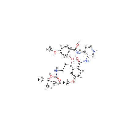 COc1ccc(C(=O)Nc2cnccc2NC(=O)c2ccc(OC)cc2OCCCNC(=O)OC(C)(C)C)cc1